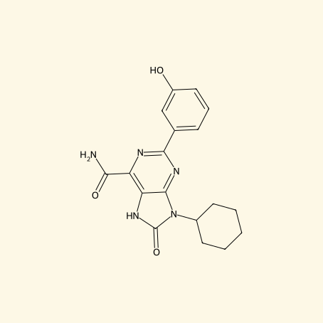 NC(=O)c1nc(-c2cccc(O)c2)nc2c1[nH]c(=O)n2C1CCCCC1